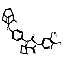 N#Cc1ncc(N2C(=O)C3(CCC3)N(c3ccc(OC4CC5CCC(N5)C4F)cc3)C2=S)cc1C(F)(F)F